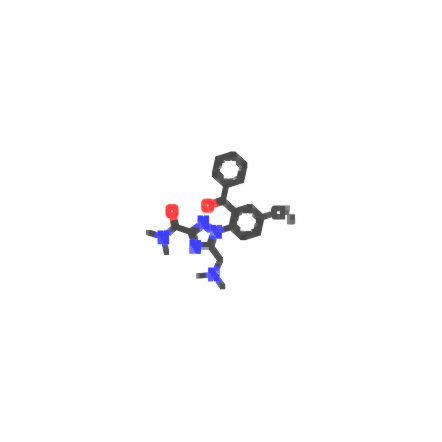 CN(C)Cc1nc(C(=O)N(C)C)nn1-c1ccc(C(F)(F)F)cc1C(=O)c1ccccc1